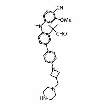 COc1cc(N(C)c2ccc(-c3ccc(N4CC(CN5CCNCC5)C4)cc3)cc2C(C)(C)C=O)ccc1C#N